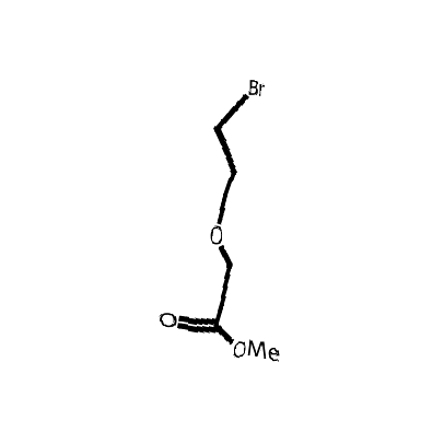 COC(=O)COCCBr